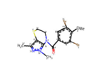 COc1c(Br)cc(C(=O)N2CCSc3c(C)nn(C)c32)cc1Br